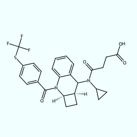 O=C(O)CCC(=O)N(C1CC1)C1c2ccccc2N(C(=O)c2ccc(SC(F)(F)F)cc2)[C@@H]2CC[C@H]12